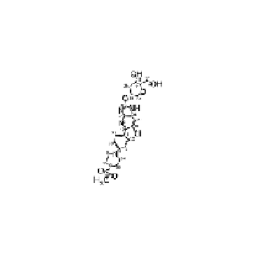 CS(=O)(=O)C1CCN(c2ccc(-c3nc4nc(O[C@H]5CO[C@H](CO)[C@@H](O)C5)[nH]c4cc3Cl)cc2)CC1